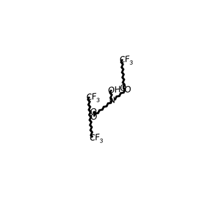 O=C(CCCCCN(CCCO)CCCCCCCC(=O)OC(CCCCCCCC(F)(F)F)CCCCCCCC(F)(F)F)OCCCCCCCCCCC(F)(F)F